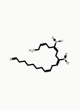 CC/C=C\C/C(=C\C/C(=C\C/C=C\CCCCCC[C]=O)[N+](=O)[O-])[N+](=O)[O-]